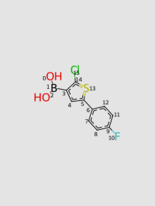 OB(O)c1cc(-c2ccc(F)cc2)sc1Cl